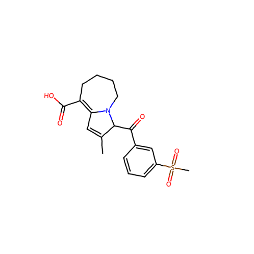 CC1=CC2=C(C(=O)O)CCCCN2C1C(=O)c1cccc(S(C)(=O)=O)c1